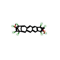 COC1(C)C2(Cl)C3=Cc4cc5cc6c(cc5cc4C=C(C3)C1(Cl)C(Cl)=C2Cl)C1(Cl)C(Cl)=C(Cl)C6(Cl)C1(C)OC